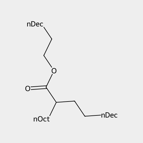 CCCCCCCCCCCCOC(=O)C(CCCCCCCC)CCCCCCCCCCCC